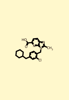 Cc1nc2ccc(C(=O)O)nc2n1Cc1ccc(CC2CCCCC2)cc1Cl